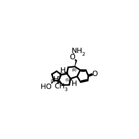 C[C@]12CC[C@@H]3C4C=CC(=O)C=C4[C@H](CON)C[C@H]3[C@@H]1CC[C@@H]2O